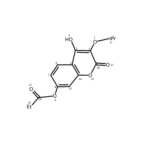 CCCOc1c(O)c2ccc(OC(=O)CC)cc2oc1=O